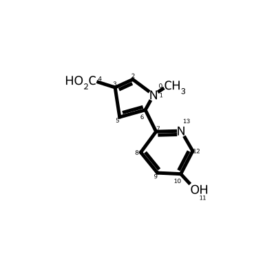 Cn1cc(C(=O)O)cc1-c1ccc(O)cn1